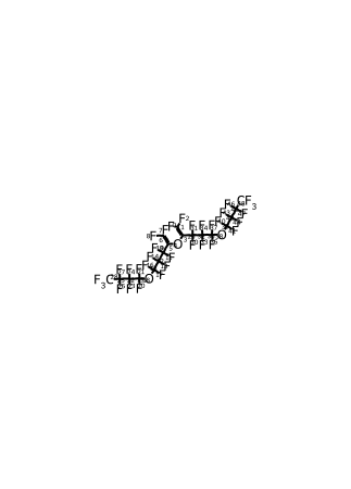 FC(F)=C(OC(=C(F)F)C(F)(F)C(F)(F)C(F)(F)OC(F)(F)C(F)(F)C(F)(F)C(F)(F)F)C(F)(F)C(F)(F)C(F)(F)OC(F)(F)C(F)(F)C(F)(F)C(F)(F)F